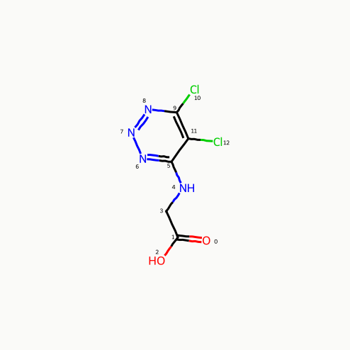 O=C(O)CNc1nnnc(Cl)c1Cl